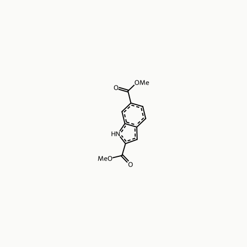 COC(=O)c1ccc2cc(C(=O)OC)[nH]c2c1